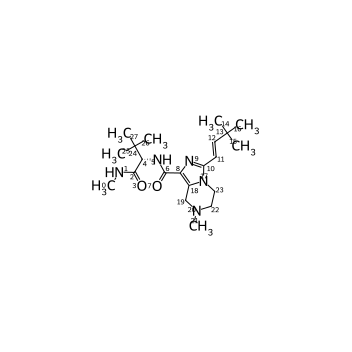 CNC(=O)[C@@H](NC(=O)c1nc(C=CC(C)(C)C)n2c1CN(C)CC2)C(C)(C)C